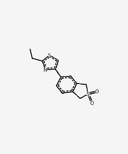 CCc1nc(-c2ccc3c(c2)CS(=O)(=O)C3)cs1